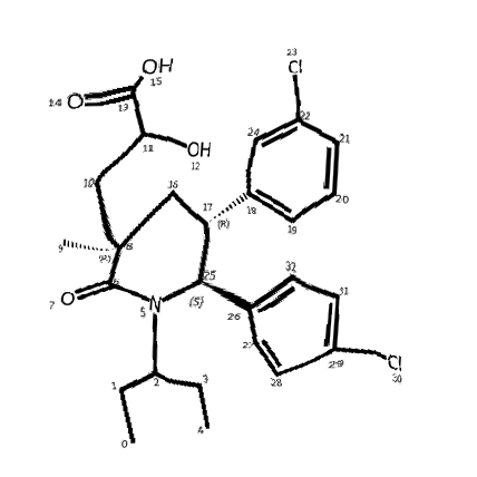 CCC(CC)N1C(=O)[C@@](C)(CC(O)C(=O)O)C[C@H](c2cccc(Cl)c2)[C@H]1c1ccc(Cl)cc1